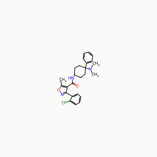 Cc1onc(-c2ccccc2Cl)c1C(=O)NC1CCC(c2ccccc2)(N(C)C)CC1